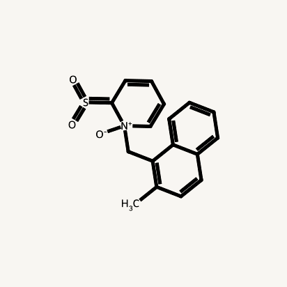 Cc1ccc2ccccc2c1C[N+]1([O-])C=CC=CC1=S(=O)=O